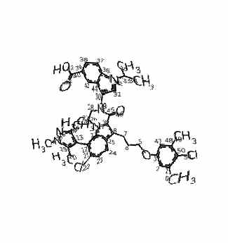 Cc1cc(OCCCc2c3n(c4c(-c5c(C)nn(C)c5C)c(Cl)ccc24)[C@H](C)CN(c2cn(C(C)C)c4ccc(C(=O)O)cc24)C3=O)cc(C)c1Cl